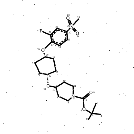 CC(C)(C)OC(=O)N1CCC(O[C@H]2CC[C@@H](Oc3ccc(S(C)(=O)=O)cc3F)CC2)CC1